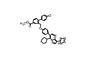 COC(=O)c1ccc(-c2ccc(Cl)cc2)c(COc2ccc(-c3cnc4c(-c5nnn[nH]5)cnn4c3C3CCCCC3)cc2)c1